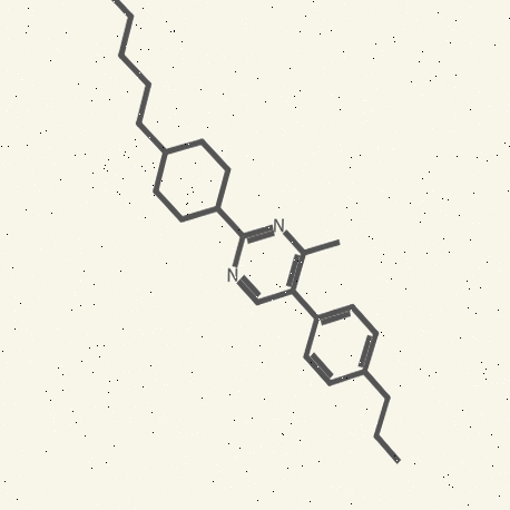 CCCCCC1CCC(c2ncc(-c3ccc(CCC)cc3)c(C)n2)CC1